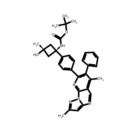 Cc1cc2ncc3c(C)c(-c4ccccc4)c(-c4ccc([C@]5(NC(=O)OC(C)(C)C)C[C@](C)(O)C5)cc4)nc3n2n1